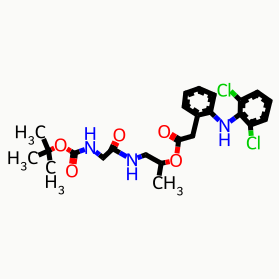 CC(CNC(=O)CNC(=O)OC(C)(C)C)OC(=O)Cc1ccccc1Nc1c(Cl)cccc1Cl